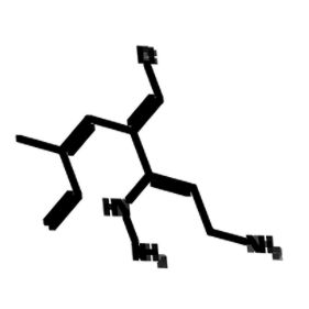 C=C\C(C)=C/C(=C\CC)C(=C/CN)/NN